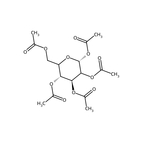 CC(=O)OCC1O[C@H](OC(C)=O)C(OC(C)=O)[C@@H](OC(C)=O)[C@@H]1OC(C)=O